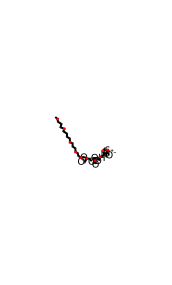 CCCCCCCCCCCCCCCCCC1OCC(COP(=O)(O)OCCn2ccs[c+]2[O-])O1